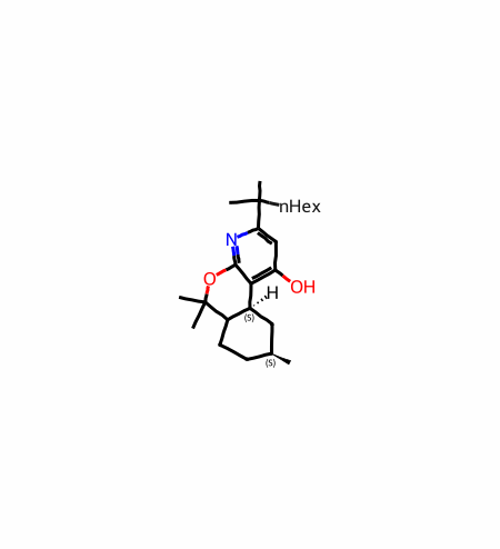 CCCCCCC(C)(C)c1cc(O)c2c(n1)OC(C)(C)C1CC[C@H](C)C[C@H]21